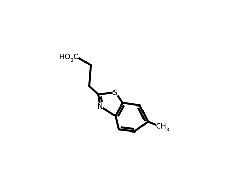 Cc1ccc2nc(CCC(=O)O)sc2c1